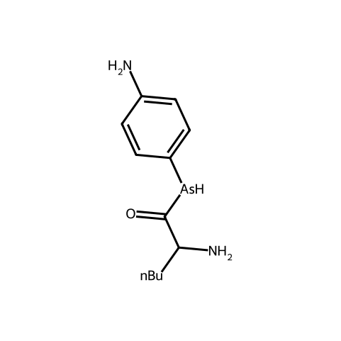 CCCCC(N)C(=O)[AsH]c1ccc(N)cc1